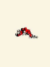 CNC(=O)CCNCc1cnc2cc(-c3cccc(-c4cccc(-c5ccc(CNCC6CCC(=O)N6)c(OC)n5)c4Cl)c3Cl)ccn2c1=O